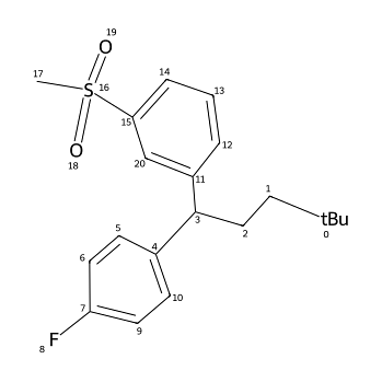 CC(C)(C)CCC(c1ccc(F)cc1)c1cccc(S(C)(=O)=O)c1